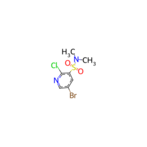 CN(C)S(=O)(=O)c1cc(Br)cnc1Cl